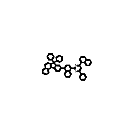 c1ccc(-c2cc(-c3cccc4ccccc34)nc(-c3ccc(-c4ccc5c(c4)C(c4ccccc4)(c4ccccc4)c4ccc6ccccc6c4-5)c4ccccc34)n2)cc1